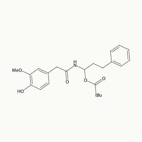 COc1cc(CC(=O)NC(CCc2ccccc2)OC(=O)C(C)(C)C)ccc1O